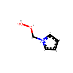 OOCn1cccc1